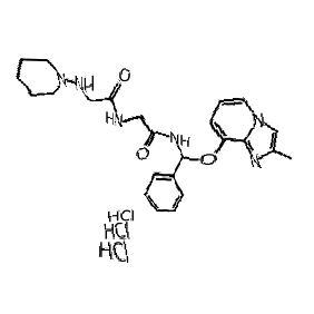 Cc1cn2cccc(OC(NC(=O)CNC(=O)CNN3CCCCC3)c3ccccc3)c2n1.Cl.Cl.Cl